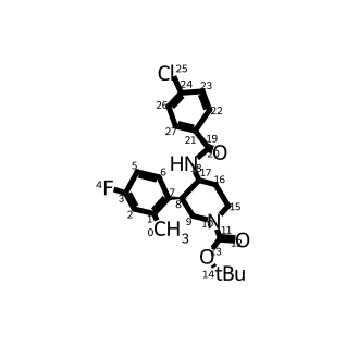 Cc1cc(F)ccc1[C@@H]1CN(C(=O)OC(C)(C)C)CCC1NC(=O)c1ccc(Cl)cc1